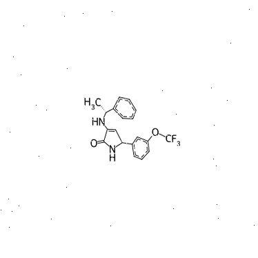 C[C@@H](NC1=CC(c2cccc(OC(F)(F)F)c2)NC1=O)c1ccccc1